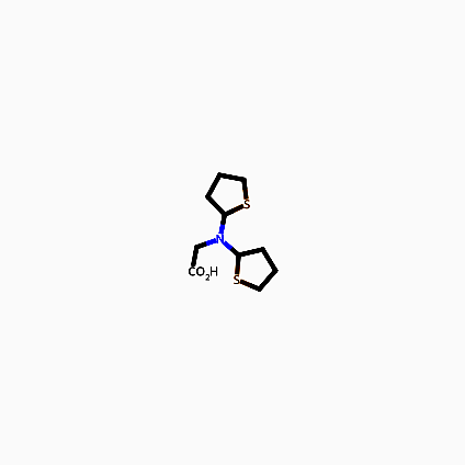 O=C(O)CN(C1CCCS1)C1CCCS1